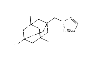 CC12CC3(C)CC(Br)(C1)CC(Cn1cccn1)(C2)C3